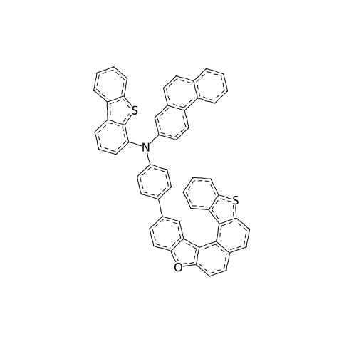 c1ccc2c(c1)ccc1cc(N(c3ccc(-c4ccc5oc6ccc7ccc8sc9ccccc9c8c7c6c5c4)cc3)c3cccc4c3sc3ccccc34)ccc12